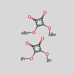 CC(C)Oc1c(OC(C)C)c(=O)c1=O.CCCCOc1c(OCCCC)c(=O)c1=O